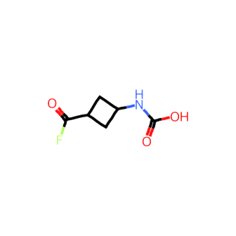 O=C(O)NC1CC(C(=O)F)C1